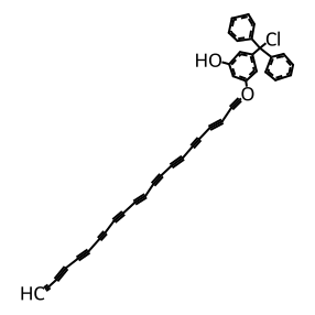 C#CC#CC#CC#CC#CC#CC#CC#CC#CC#CC#COc1cc(O)cc(C(Cl)(c2ccccc2)c2ccccc2)c1